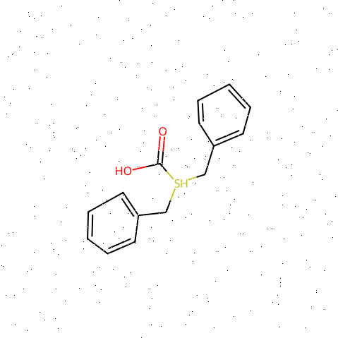 O=C(O)[SH](Cc1ccccc1)Cc1ccccc1